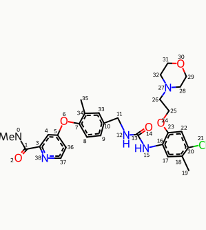 CNC(=O)c1cc(Oc2ccc(CNC(=O)Nc3cc(C)c(Cl)cc3OCCN3CCOCC3)cc2C)ccn1